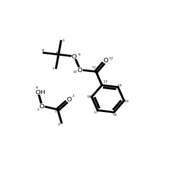 CC(=O)OO.CC(C)(C)OOC(=O)c1ccccc1